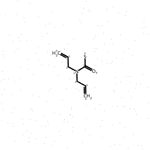 C=CCN(CC=C)C(=O)[S]